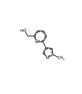 Cn1cc(-c2cccc(CO)n2)cn1